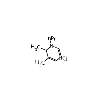 CCCN1C=CC=C(C)C1C.Cl